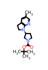 Cc1cnc2c(c1)CCN2C1CCN(C(=O)OC(C)(C)C)C1